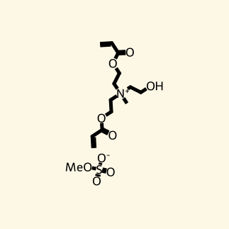 C=CC(=O)OCC[N+](C)(CCO)CCOC(=O)C=C.COS(=O)(=O)[O-]